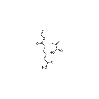 C=C(C)C(=O)O.C=COC(=O)CC/C=C/C(=O)O